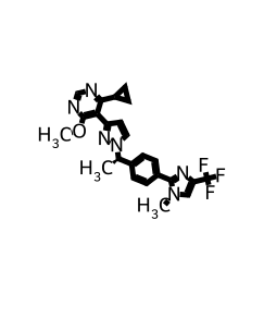 COc1ncnc(C2CC2)c1-c1ccn([C@H](C)c2ccc(-c3nc(C(F)(F)F)cn3C)cc2)n1